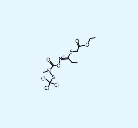 CCOC(=O)CS/C(CC)=N/OC(=O)N(C)SC(Cl)(Cl)Cl